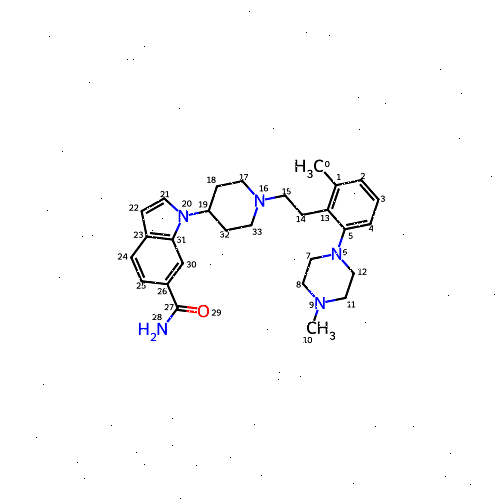 Cc1cccc(N2CCN(C)CC2)c1CCN1CCC(n2ccc3ccc(C(N)=O)cc32)CC1